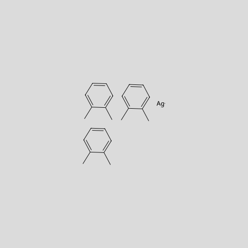 Cc1ccccc1C.Cc1ccccc1C.Cc1ccccc1C.[Ag]